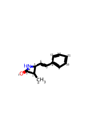 CC1C(=O)NC1C=Cc1ccccc1